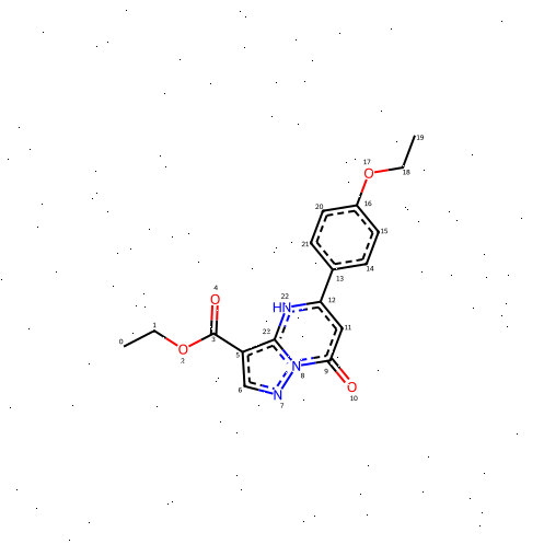 CCOC(=O)c1cnn2c(=O)cc(-c3ccc(OCC)cc3)[nH]c12